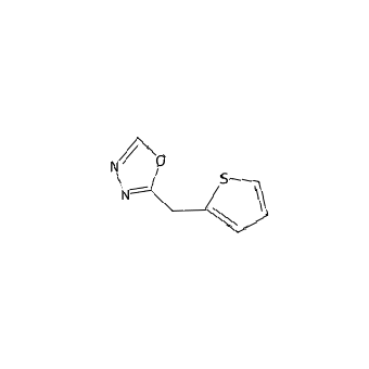 c1csc(Cc2nnco2)c1